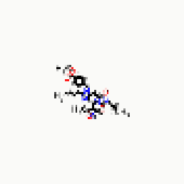 CCCCc1ncc(C=C2C(=O)N(CCCC)C(=O)N2Cc2c(C)noc2C)n1Cc1ccc(C(=O)OC)cc1